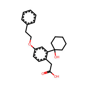 O=C(O)Cc1ccc(OCCc2ccccc2)cc1C1(O)CCCCC1